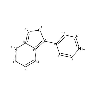 c1cnc2noc(-c3ccncc3)c2c1